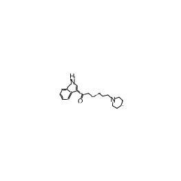 O=C(CCCCCN1CC[CH]CC1)c1c[nH]c2ccccc12